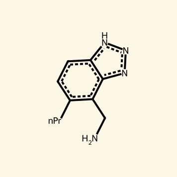 CCCc1ccc2[nH]nnc2c1CN